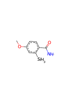 COc1ccc(C([NH])=O)c([SiH3])c1